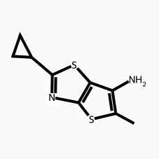 Cc1sc2nc(C3CC3)sc2c1N